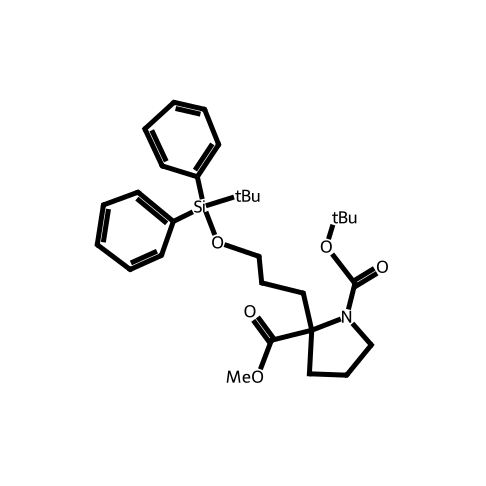 COC(=O)C1(CCCO[Si](c2ccccc2)(c2ccccc2)C(C)(C)C)CCCN1C(=O)OC(C)(C)C